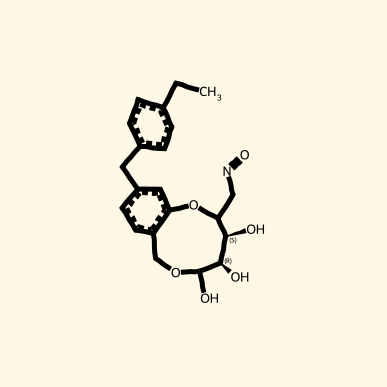 CCc1ccc(Cc2ccc3c(c2)OC(CN=O)[C@@H](O)[C@@H](O)C(O)OC3)cc1